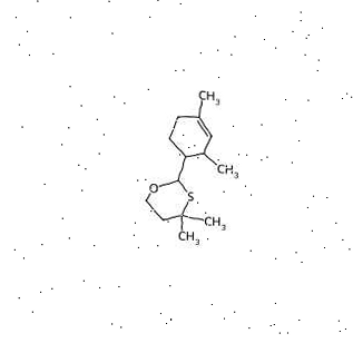 CC1=CC(C)C(C2OCCC(C)(C)S2)CC1